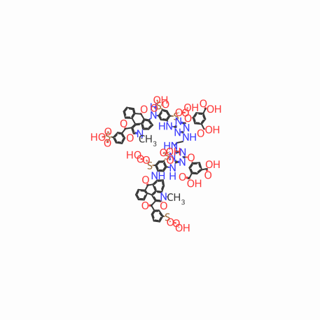 Cn1c(=O)c(C(=O)c2cccc(SOOO)c2)c2c3c(c(Nc4cc(Nc5nc(NCCNc6nc(Nc7cc(Nc8ccc9c%10c8C(=O)c8ccccc8-c%10c(C(=O)c8cccc(S(=O)(=O)O)c8)c(=O)n9C)c(S(=O)(=O)O)cc7SOOO)nc(Oc7cc(C(=O)O)cc(C(=O)O)c7)n6)nc(Oc6cc(C(=O)O)cc(C(=O)O)c6)n5)c(S(=O)(=O)O)cc4SOOO)ccc31)C(=O)c1ccccc1-2